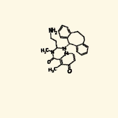 Cc1c2n(ccc1=O)N(C1c3ccccc3CCc3ccccc31)C(CCN)N(C)C2=O